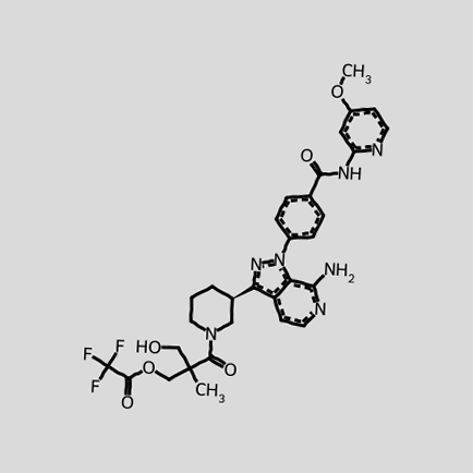 COc1ccnc(NC(=O)c2ccc(-n3nc([C@@H]4CCCN(C(=O)C(C)(CO)COC(=O)C(F)(F)F)C4)c4ccnc(N)c43)cc2)c1